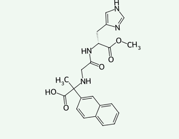 COC(=O)[C@@H](Cc1c[nH]cn1)NC(=O)CNC(C)(C(=O)O)c1ccc2ccccc2c1